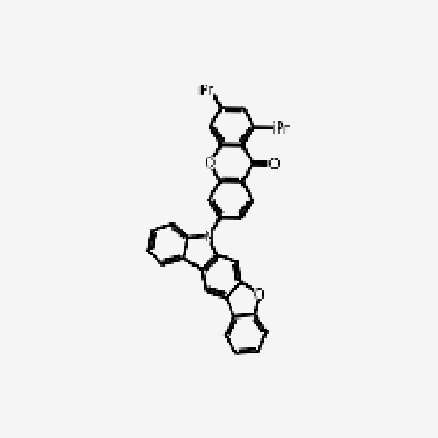 CC(C)c1cc(C(C)C)c2c(=O)c3ccc(-n4c5ccccc5c5cc6c(cc54)oc4ccccc46)cc3oc2c1